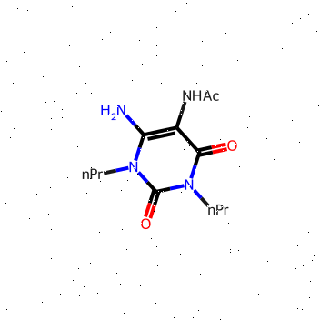 CCCn1c(N)c(NC(C)=O)c(=O)n(CCC)c1=O